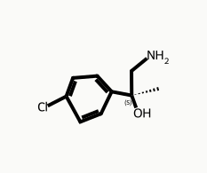 C[C@@](O)(CN)c1ccc(Cl)cc1